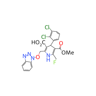 COC(=O)C1=C(CF)NC(COn2nnc3ccccc32)=C(C(=O)O)C1c1cccc(Cl)c1Cl